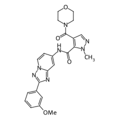 COc1cccc(-c2nc3cc(NC(=O)c4c(C(=O)N5CCOCC5)cnn4C)ccn3n2)c1